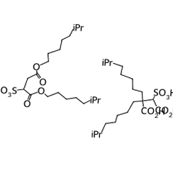 CC(C)CCCCCC(CCCCCC(C)C)(C(=O)O)C(C(=O)O)S(=O)(=O)O.CC(C)CCCCCOC(=O)CC(C(=O)OCCCCCC(C)C)S(=O)(=O)O